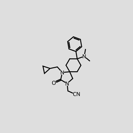 CN(C)C1(c2ccccc2)CCC2(CC1)CN(CC#N)C(=O)N2CC1CC1